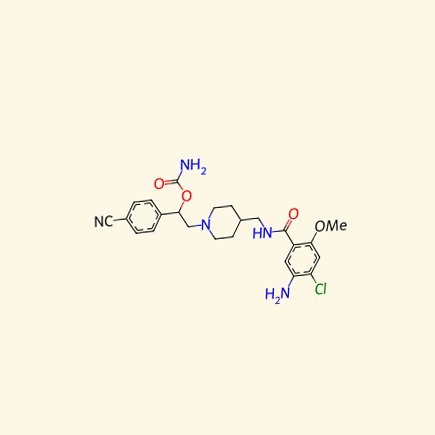 COc1cc(Cl)c(N)cc1C(=O)NCC1CCN(CC(OC(N)=O)c2ccc(C#N)cc2)CC1